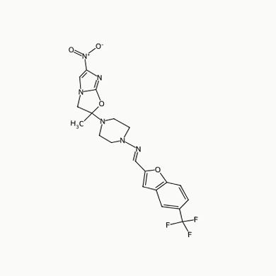 CC1(N2CCN(N=Cc3cc4cc(C(F)(F)F)ccc4o3)CC2)Cn2cc([N+](=O)[O-])nc2O1